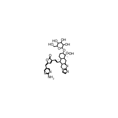 C[C@]12CC[C@@H](OC3OC(CO)C(O)C(O)C3O)[C@@](C)(OO)C1CC1=Nc3nccn3CC1C2/C=C/C1=CC(=C\c2cnc(N)nc2)/OC1=O